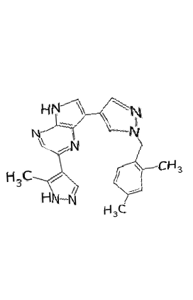 Cc1ccc(Cn2cc(-c3c[nH]c4ncc(-c5cn[nH]c5C)nc34)cn2)c(C)c1